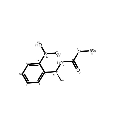 C[C@@H](NC(=O)OC(C)(C)C)c1ccccc1B(O)O